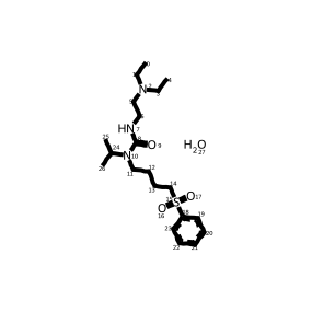 CCN(CC)CCNC(=O)N(CCCCS(=O)(=O)c1ccccc1)C(C)C.O